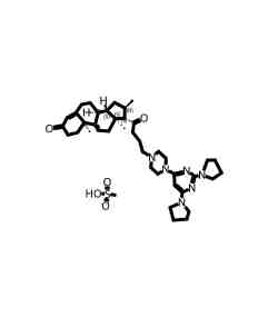 CS(=O)(=O)O.C[C@@H]1C[C@H]2[C@@H]3CCC4=CC(=O)CC[C@]4(C)C3=CC[C@]2(C)[C@H]1C(=O)CCCN1CCN(c2cc(N3CCCC3)nc(N3CCCC3)n2)CC1